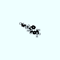 O=C(NCc1ccc(Cl)s1)N[C@@H](Cc1ccccc1)c1nc(-c2ccc3[nH]c(=O)cc(O)c3c2)c(Cl)[nH]1